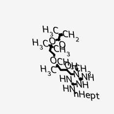 C=C(C)C(=O)OC(C)(C)CCOC(C)(C)CC(O)CN(C)C(=N)NC(=N)NCCCCCCC